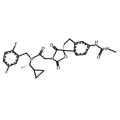 CNC(=O)Nc1ccc2c(c1)CC[C@@]21OC(=O)N(CC(=O)N(Cc2cc(F)ccc2F)[C@@H](C)C2CC2)C1=O